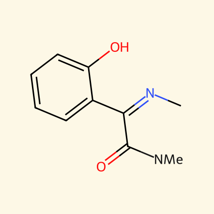 CN=C(C(=O)NC)c1ccccc1O